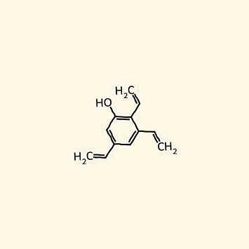 C=Cc1cc(O)c(C=C)c(C=C)c1